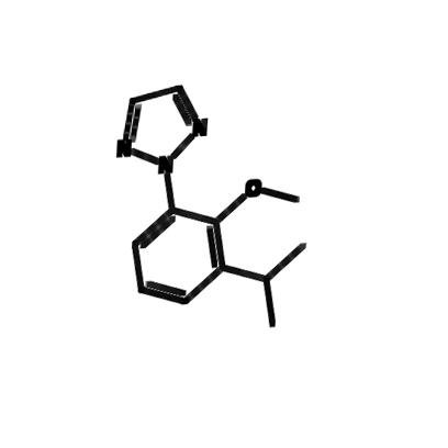 COc1c(C(C)C)cccc1-n1nccn1